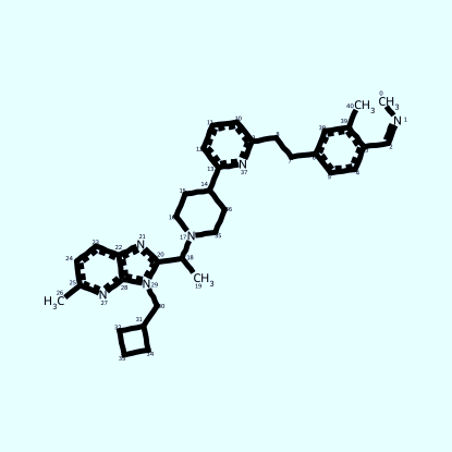 C/N=C\c1ccc(CCc2cccc(C3CCN(C(C)c4nc5ccc(C)nc5n4CC4CCC4)CC3)n2)cc1C